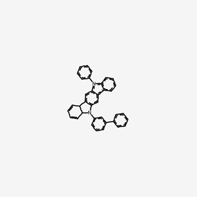 C1=CC2c3cc4c(cc3N(c3cccc(-c5ccccc5)c3)C2C=C1)c1ccccc1n4-c1ccccc1